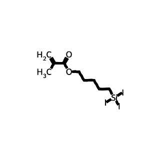 C=C(C)C(=O)OCCCCC[Si](I)(I)I